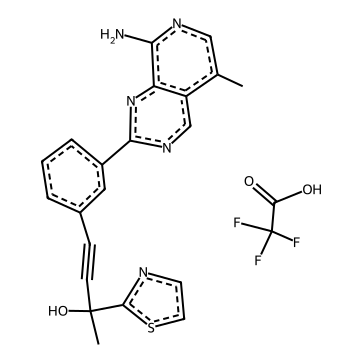 Cc1cnc(N)c2nc(-c3cccc(C#CC(C)(O)c4nccs4)c3)ncc12.O=C(O)C(F)(F)F